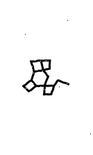 CCC1CCC12CC13CCC1CC3C1CCC12